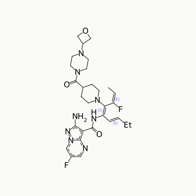 C\C=C(F)/C(=C(\C=C\CC)NC(=O)c1c(N)nn2cc(F)cnc12)N1CCC(C(=O)N2CCN(C3COC3)CC2)CC1